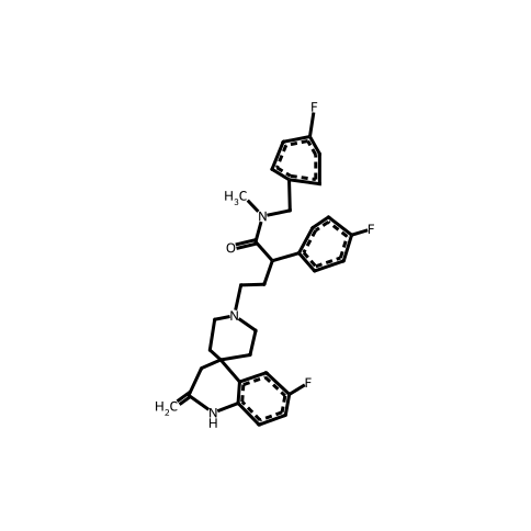 C=C1CC2(CCN(CCC(C(=O)N(C)Cc3ccc(F)cc3)c3ccc(F)cc3)CC2)c2cc(F)ccc2N1